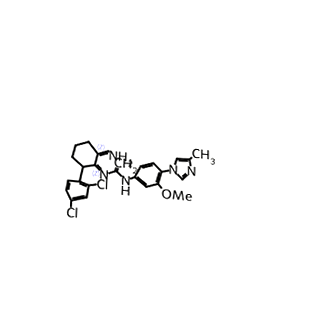 C=C(/N=C1\C(=C/N)CCCC1c1ccc(Cl)cc1Cl)Nc1ccc(-n2cnc(C)c2)c(OC)c1